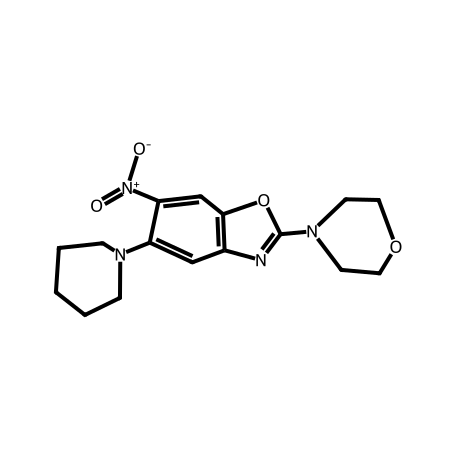 O=[N+]([O-])c1cc2oc(N3CCOCC3)nc2cc1N1CCCCC1